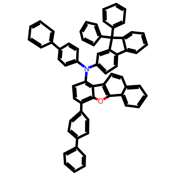 c1ccc(-c2ccc(-c3ccc(N(c4ccc(-c5ccccc5)cc4)c4ccc5c(c4)C(c4ccccc4)(c4ccccc4)c4ccccc4-5)c4c3oc3c5ccccc5ccc34)cc2)cc1